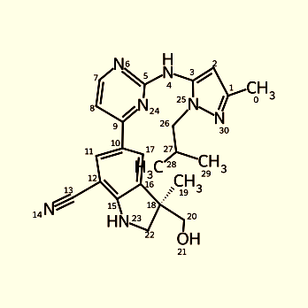 Cc1cc(Nc2nccc(-c3cc(C#N)c4c(c3)[C@@](C)(CO)CN4)n2)n(CC(C)C)n1